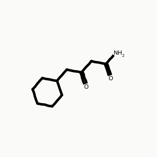 NC(=O)CC(=O)CC1CCCCC1